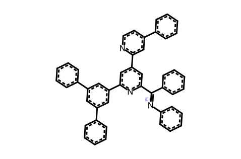 c1ccc(/N=C(\c2ccccc2)c2cc(-c3cc(-c4ccccc4)ccn3)cc(-c3cc(-c4ccccc4)cc(-c4ccccc4)c3)n2)cc1